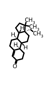 CC[C@]12CC[C@H]3[C@@H](CCC4=CC(=O)CC[C@@H]43)[C@@H]1CCC2(C)C